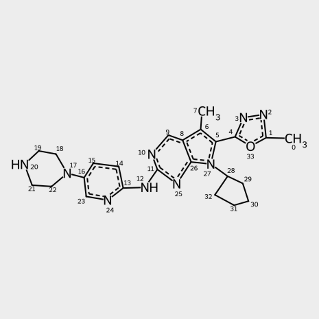 Cc1nnc(-c2c(C)c3cnc(Nc4ccc(N5CCNCC5)cn4)nc3n2C2CCCC2)o1